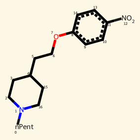 CCCCCN1CCC(CCOc2ccc([N+](=O)[O-])cc2)CC1